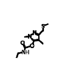 CCNC(=O)Oc1c(C)c(CSC)nn1C